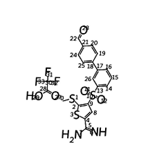 CSc1sc(C(=N)N)cc1S(=O)(=O)c1cccc(-c2ccc(C=O)cc2)c1.O=C(O)C(F)(F)F